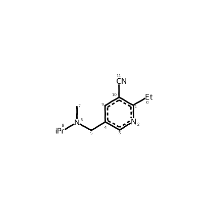 CCc1ncc(CN(C)C(C)C)cc1C#N